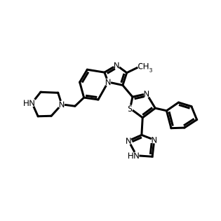 Cc1nc2ccc(CN3CCNCC3)cn2c1-c1nc(-c2ccccc2)c(-c2nc[nH]n2)s1